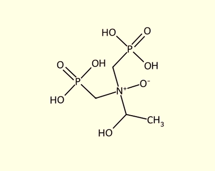 CC(O)[N+]([O-])(CP(=O)(O)O)CP(=O)(O)O